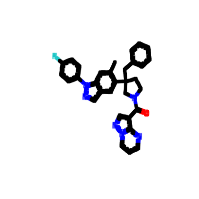 Cc1cc2c(cnn2-c2ccc(F)cc2)cc1C1(Cc2ccccc2)CCN(C(=O)c2cnn3cccnc23)C1